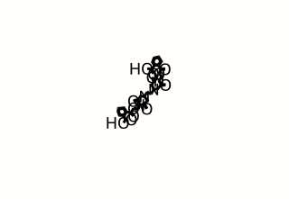 O=C(O)c1ccccc1C(=O)OCN1C(=O)CN(CCN2CC(=O)N(COC(=O)c3ccccc3C(=O)O)C(=O)C2)CC1=O